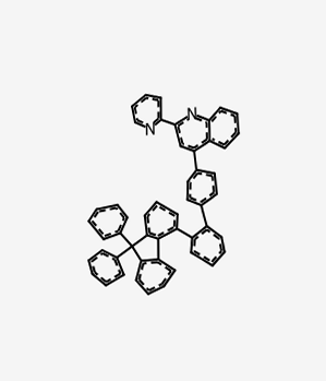 c1ccc(C2(c3ccccc3)c3ccccc3-c3c(-c4ccccc4-c4ccc(-c5cc(-c6ccccn6)nc6ccccc56)cc4)cccc32)cc1